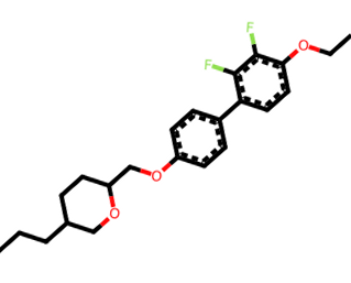 CCCC1CCC(COc2ccc(-c3ccc(OCC)c(F)c3F)cc2)OC1